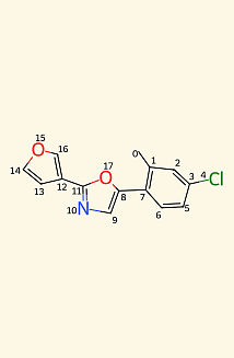 Cc1cc(Cl)ccc1-c1cnc(-c2ccoc2)o1